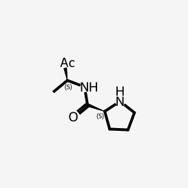 CC(=O)[C@H](C)NC(=O)[C@@H]1CCCN1